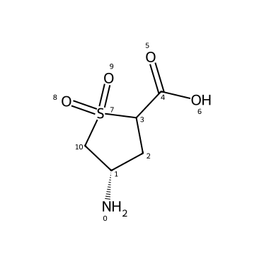 N[C@H]1CC(C(=O)O)S(=O)(=O)C1